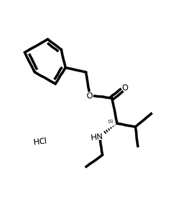 CCN[C@H](C(=O)OCc1ccccc1)C(C)C.Cl